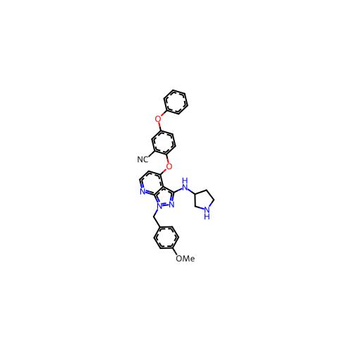 COc1ccc(Cn2nc(NC3CCNC3)c3c(Oc4ccc(Oc5ccccc5)cc4C#N)ccnc32)cc1